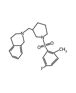 Cc1ccc(F)cc1S(=O)(=O)N1CCCC(CN2CCc3ccccc3C2)C1